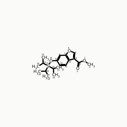 COC(=O)c1coc2cc(O[Si](C(C)C)(C(C)C)C(C)C)ccc12